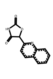 O=C1NC(=O)C(c2ccc3ccccc3n2)O1